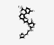 O=C(c1ccc(F)cc1-c1cccc2cc(-c3nc(NCCn4ccnn4)ncc3F)sc12)C(F)(F)F